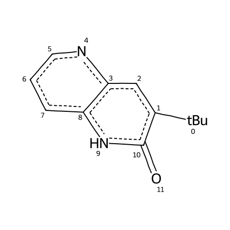 CC(C)(C)c1cc2ncccc2[nH]c1=O